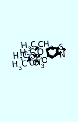 CC(C)(C)OP(=O)(Oc1ccc2scnc2c1)OC(C)(C)C